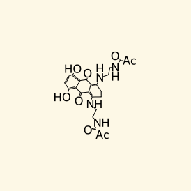 CC(=O)C(=O)NCCNc1ccc(NCCNC(=O)C(C)=O)c2c1C(=O)c1c(O)ccc(O)c1C2=O